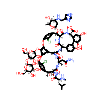 CN[C@H](CC(C)C)C(=O)N[C@H]1C(=O)N[C@@H](CC(N)=O)C(=O)N[C@H]2C(=O)N[C@H]3C(=O)N[C@H](C(=O)N[C@@H](C(=O)O)c4cc(O)cc(O)c4-c4cc3ccc4O)C(O[C@H]3C[C@](C)(NCc4c[nH]cn4)[C@@H](O)[C@H](C)O3)c3ccc(c(Cl)c3)Oc3cc2cc(c3O[C@@H]2O[C@H](CO)[C@@H](O[C@@H]3O[C@H](CO)[C@H](O)[C@H](O)[C@H]3O)[C@H](O)[C@H]2O)Oc2ccc(cc2Cl)[C@H]1O